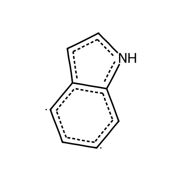 [c]1c[c]c2cc[nH]c2c1